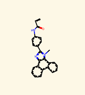 C=CC(=O)Nc1ccc(-c2nc3c4ccccc4c4ccccc4c3n2C)cc1